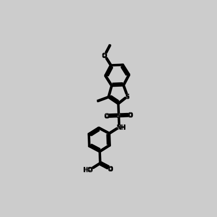 COc1ccc2sc(S(=O)(=O)Nc3cccc(C(=O)O)c3)c(C)c2c1